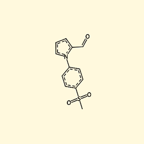 CS(=O)(=O)c1ccc(-n2cccc2C=O)cc1